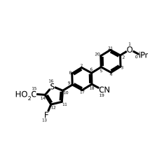 CC(C)Oc1ccc(-c2ccc(-c3cc(F)c(C(=O)O)s3)cc2C#N)cc1